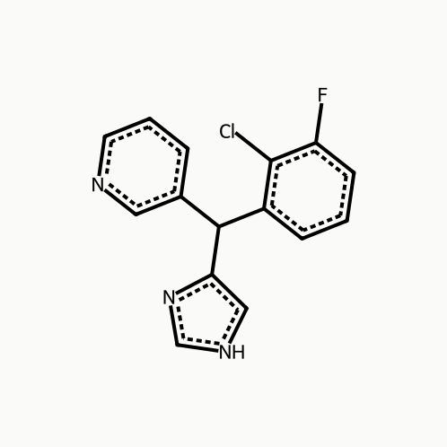 Fc1cccc(C(c2cccnc2)c2c[nH]cn2)c1Cl